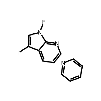 Fn1cc(I)c2cccnc21.c1ccncc1